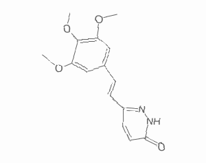 COc1cc(C=Cc2ccc(=O)[nH]n2)cc(OC)c1OC